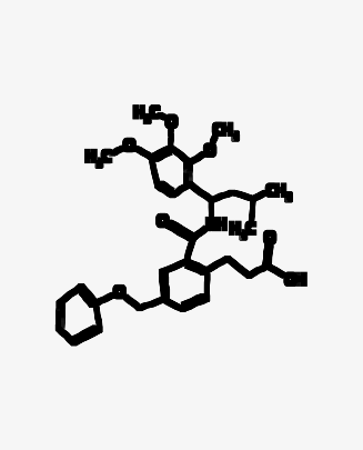 COc1ccc(C(CC(C)C)NC(=O)c2cc(COc3ccccc3)ccc2CCC(=O)O)c(OC)c1OC